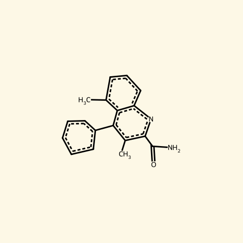 Cc1c(C(N)=O)nc2cccc(C)c2c1-c1ccccc1